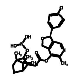 Cc1ncc2c(c1OC(=O)CC1C3CCC(C)(C1ON(O)O)C3(C)C)CO[C@H]2c1ccc(Cl)cc1